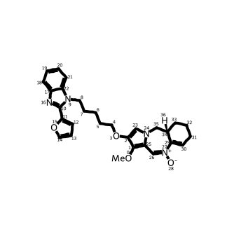 COc1c(OCCCCCn2c(-c3ccco3)nc3ccccc32)cn2c1C=[N+]([O-])C1=CCCC[C@H]1C2